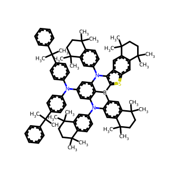 CC1(C)CCC(C)(C)c2cc(N3c4cc5c(cc4B4c6sc7cc8c(cc7c6N(c6ccc7c(c6)C(C)(C)CCC7(C)C)c6cc(N(c7ccc(C(C)(C)c9ccccc9)cc7)c7ccc(C(C)(C)c9ccccc9)cc7)cc3c64)C(C)(C)CCC8(C)C)C(C)(C)CCC5(C)C)ccc21